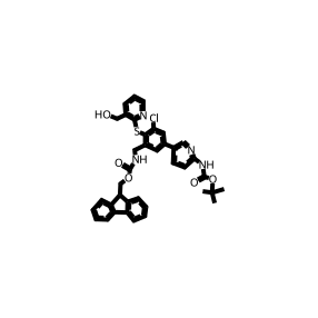 CC(C)(C)OC(=O)Nc1ccc(-c2cc(Cl)c(Sc3ncccc3CO)c(CNC(=O)OCC3c4ccccc4-c4ccccc43)c2)cn1